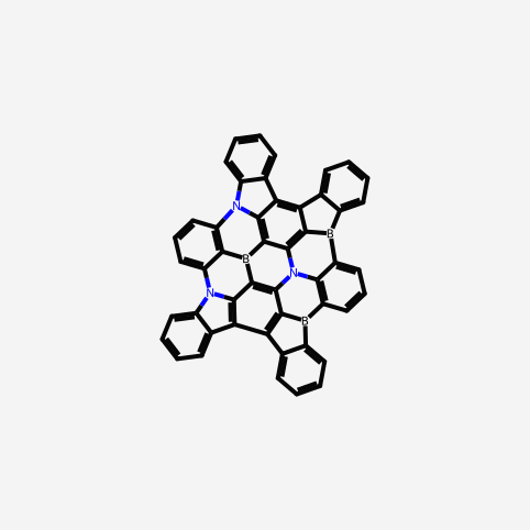 c1ccc2c(c1)B1c3cccc4c3N3c5c1c-2c1c2ccccc2n2c1c5B1c5c-2cccc5-n2c5ccccc5c5c6c(c3c1c52)B4c1ccccc1-6